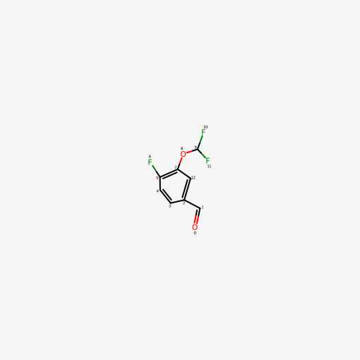 O=Cc1ccc(F)c(OC(F)F)c1